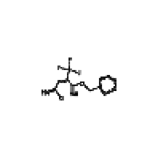 N=C(Cl)/C=C(\C(=N)OCc1ccccc1)C(F)(F)F